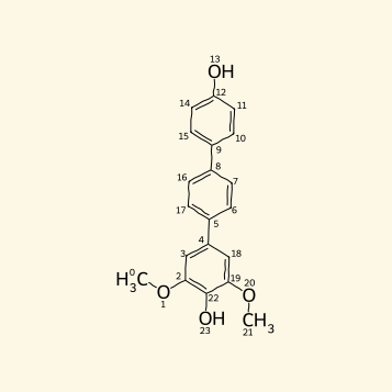 COc1cc(-c2ccc(-c3ccc(O)cc3)cc2)cc(OC)c1O